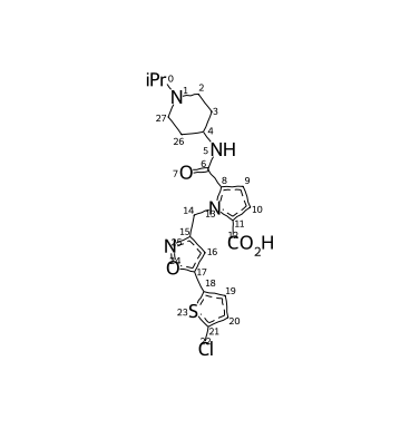 CC(C)N1CCC(NC(=O)c2ccc(C(=O)O)n2Cc2cc(-c3ccc(Cl)s3)on2)CC1